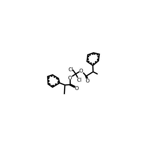 CC(C(=O)OC(Cl)(Cl)OC(=O)C(C)c1ccccc1)c1ccccc1